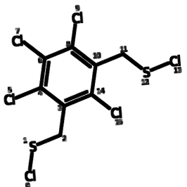 ClSCc1c(Cl)c(Cl)c(Cl)c(CSCl)c1Cl